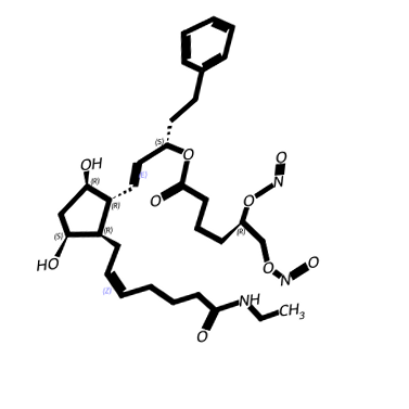 CCNC(=O)CCC/C=C\C[C@@H]1[C@@H](/C=C/[C@H](CCc2ccccc2)OC(=O)CCC[C@H](CON=O)ON=O)[C@H](O)C[C@@H]1O